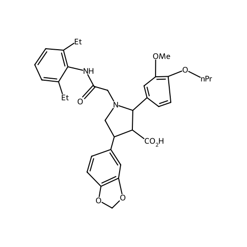 CCCOc1ccc(C2C(C(=O)O)C(c3ccc4c(c3)OCO4)CN2CC(=O)Nc2c(CC)cccc2CC)cc1OC